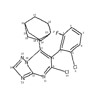 Fc1cccc(Cl)c1-c1c(Cl)nc2ncnn2c1N1CC2CCC1CC2